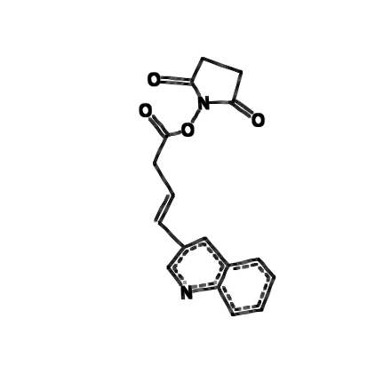 O=C(CC=Cc1cnc2ccccc2c1)ON1C(=O)CCC1=O